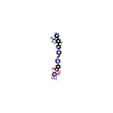 O=C1CCC(N2C(=O)c3ccc(N4CCN(CCC5CCN(c6ccc(-c7c(F)cc8c9cnccc9n(C(F)F)c8c7F)cn6)CC5)CC4)cc3C2=O)C(=O)N1